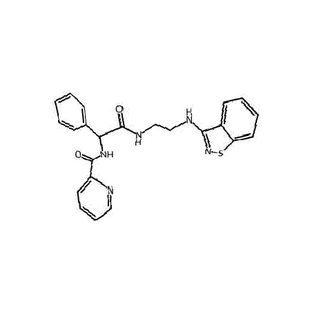 O=C(NC(C(=O)NCCNc1nsc2ccccc12)c1ccccc1)c1ccccn1